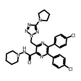 O=C(NN1CCCCC1)c1nc(-c2ccc(Cl)cc2)c(-c2ccc(Cl)cc2)nc1Cn1nnc(N2CCCC2)n1